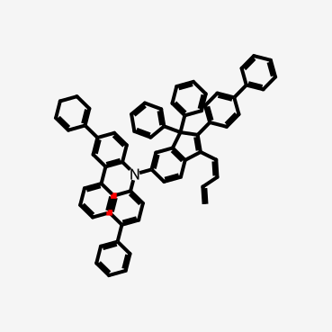 C=C/C=C\C1=C(c2ccc(-c3ccccc3)cc2)C(c2ccccc2)(c2ccccc2)c2cc(N(c3ccc(-c4ccccc4)cc3)c3ccc(C4=CCCC=C4)cc3-c3ccccc3)ccc21